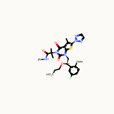 COc1ccc(F)cc1[C@H](Cn1c(=O)n(C(C)(C)C(=O)NC(C)C)c(=O)c2c(C)c(-n3nccn3)sc21)OCCC(=O)O